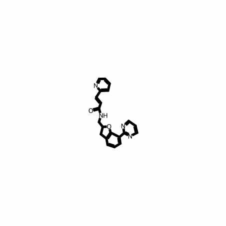 O=C(/C=C/c1ccccn1)NCC1Cc2cccc(-c3ncccn3)c2O1